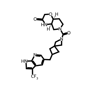 O=C1CO[C@H]2CCN(C(=O)N3CC4(CC(Cc5cnc6[nH]cc(C(F)(F)F)c6c5)C4)C3)C[C@H]2N1